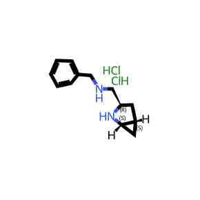 Cl.Cl.c1ccc(CNC[C@H]2C[C@@H]3C[C@@H]3N2)cc1